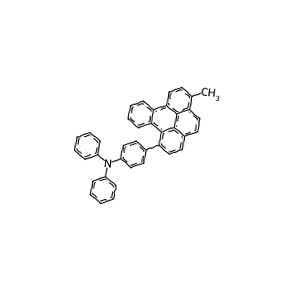 Cc1ccc2c3ccccc3c3c(-c4ccc(N(c5ccccc5)c5ccccc5)cc4)ccc4ccc1c2c43